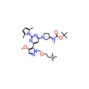 COc1cnn(COCC[Si](C)(C)C)c1-c1cc(N2CC[C@@H](N(C)C(=O)OC(C)(C)C)C2)nc(-n2c(C)ccc2C)n1